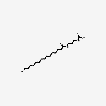 O=C(O)NCCCNC(=O)CCCCCCCCCCCCCCO